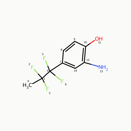 CC(F)(F)C(F)(F)c1ccc(O)c(N)c1